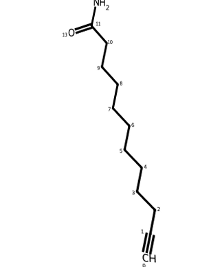 C#CCCCCCCCCCC(N)=O